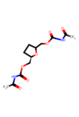 O=C(NC(=O)C(F)(F)F)OCC1CC[C@H](COC(=O)NC(=O)C(F)(F)F)O1